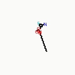 CCCCCCCCCCCCCCCOCC(CO)OCc1cc(F)cc(C#N)c1